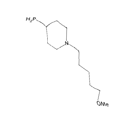 COCCCCCN1CCC(P)CC1